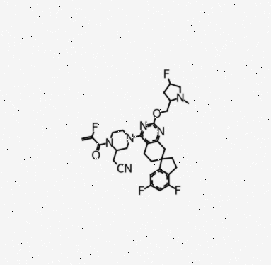 C=C(F)C(=O)N1CCN(c2nc(OCC3CC(F)CN3C)nc3c2CCC2(CCc4c(F)cc(F)cc42)C3)CC1CC#N